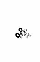 C=C(c1ccccc1F)C1CCCN1C(=O)OC(C)(C)C